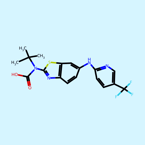 CC(C)(C)N(C(=O)O)c1nc2ccc(Nc3ccc(C(F)(F)F)cn3)cc2s1